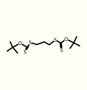 CC(C)(C)OC(=S)SCCCSC(=S)OC(C)(C)C